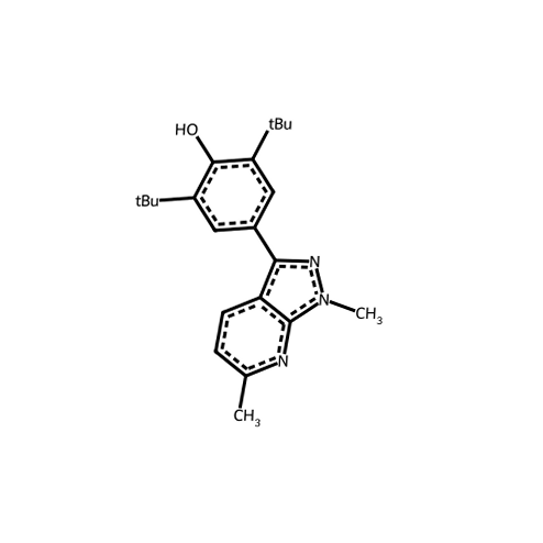 Cc1ccc2c(-c3cc(C(C)(C)C)c(O)c(C(C)(C)C)c3)nn(C)c2n1